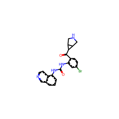 O=C(Nc1cc(Br)ccc1C(=O)C1C2CNCC21)Nc1cccc2cnccc12